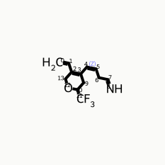 C=CC1=C(/C=C\CC=N)CC(C(F)(F)F)OC1